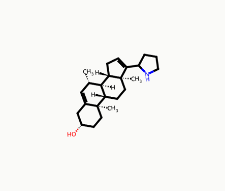 C[C@H]1C=C2C[C@@H](O)CC[C@]2(C)[C@H]2CC[C@]3(C)C(C4CCCN4)=CC[C@H]3[C@H]12